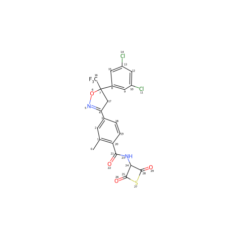 Cc1cc(C2=NOC(c3cc(Cl)cc(Cl)c3)(C(F)(F)F)C2)ccc1C(=O)NC1C(=O)SC1=O